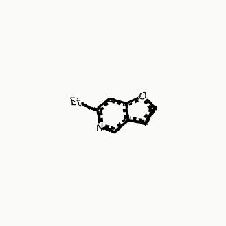 CCc1cc2occc2cn1